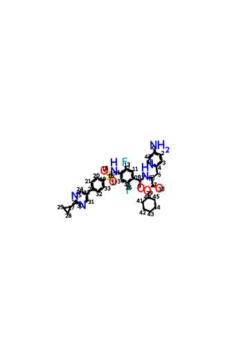 Nc1ccc(C[C@H](NC(=O)c2cc(F)c(NS(=O)(=O)c3ccc(-c4cnc(C5CC5)nc4)cc3)cc2F)C(=O)OC2CCCCC2)nc1